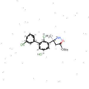 COC(=O)C[C@](C)(N)c1cccc(-c2cccc(Cl)c2)c1Cl.Cl